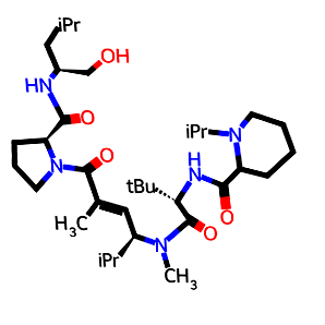 C/C(=C\[C@H](C(C)C)N(C)C(=O)[C@@H](NC(=O)C1CCCCN1C(C)C)C(C)(C)C)C(=O)N1CCC[C@H]1C(=O)N[C@H](CO)CC(C)C